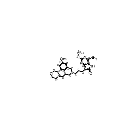 CCCCOc1nc(N)c2[nH]c(=O)n(CCCN(CCCN3CCOCC3)Cc3cccc(OC(C)=O)c3)c2n1